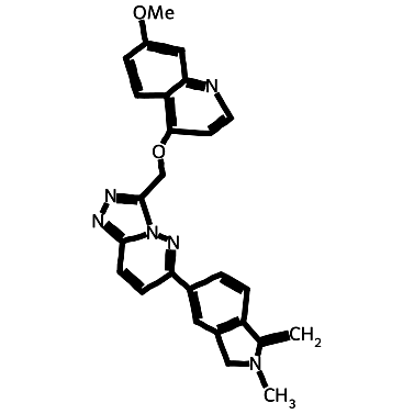 C=C1c2ccc(-c3ccc4nnc(COc5ccnc6cc(OC)ccc56)n4n3)cc2CN1C